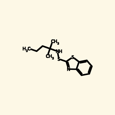 CCCC(C)(C)NSc1nc2ccccc2s1